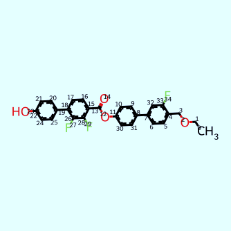 CCOCc1ccc(-c2ccc(OC(=O)c3ccc(-c4ccc(O)cc4)c(F)c3F)cc2)cc1F